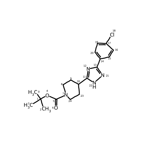 CC(C)(C)OC(=O)N1CCC(c2nc(-c3ccc(Cl)cc3)n[nH]2)CC1